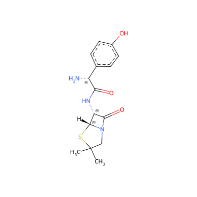 CC1(C)CN2C(=O)[C@@H](NC(=O)[C@H](N)c3ccc(O)cc3)[C@H]2S1